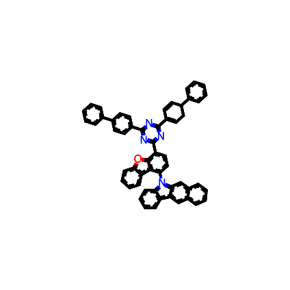 C1=CC(c2ccccc2)CC=C1c1nc(-c2ccc(-c3ccccc3)cc2)nc(-c2ccc(-n3c4ccccc4c4cc5ccccc5cc43)c3c2oc2ccccc23)n1